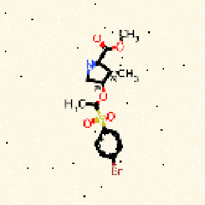 COC(=O)C1=NC[C@H](OC(C)S(=O)(=O)c2ccc(Br)cc2)[C@H]1C